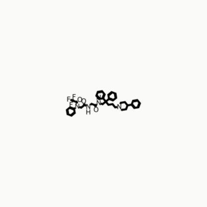 O=C(CNC(=O)CN(C(=O)C(F)(F)F)c1ccccc1)NCC(CCCN1CCC(c2ccccc2)CC1)(c1ccccc1)c1ccccc1